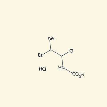 CCCC(CC)C(Cl)NC(=O)O.Cl